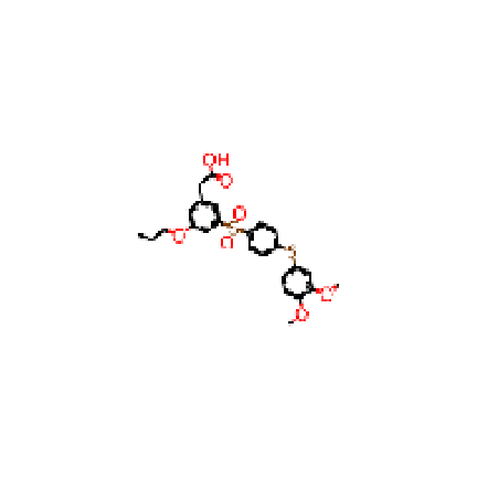 CCCOc1cc(CC(=O)O)cc(S(=O)(=O)c2ccc(Sc3ccc(OC)c(OC)c3)cc2)c1